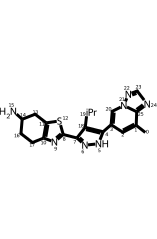 Cc1cc(-c2[nH]nc(-c3nc4c(s3)CC(N)CC4)c2C(C)C)cn2ncnc12